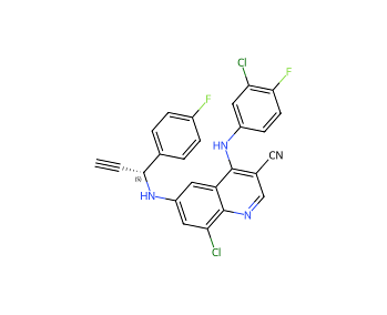 C#C[C@@H](Nc1cc(Cl)c2ncc(C#N)c(Nc3ccc(F)c(Cl)c3)c2c1)c1ccc(F)cc1